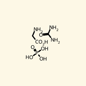 NC(N)=O.NCC(=O)O.O=P(O)(O)O